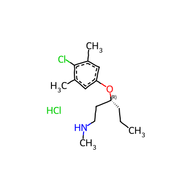 CCC[C@H](CCNC)Oc1cc(C)c(Cl)c(C)c1.Cl